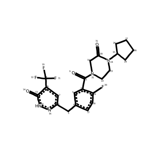 O=C(c1cc(Cc2cc(C(F)(F)F)c(=O)[nH]n2)ccc1F)N1CCN(C2CCCC2)C(=O)C1